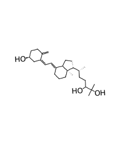 C=C1CC[C@H](O)C/C1=C/C=C1CCC[C@@]2(C)C1CC[C@@H]2[C@H](C)CCC(O)C(C)(C)O